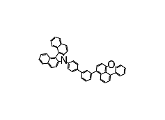 c1cc(-c2ccc(-n3c4ccc5ccccc5c4c4c5ccccc5ccc43)cc2)cc(-c2ccc3c4c(cccc24)-c2ccccc2O3)c1